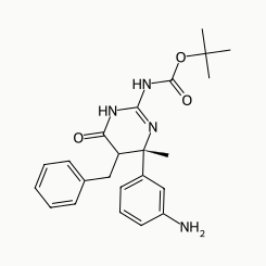 CC(C)(C)OC(=O)NC1=N[C@](C)(c2cccc(N)c2)C(Cc2ccccc2)C(=O)N1